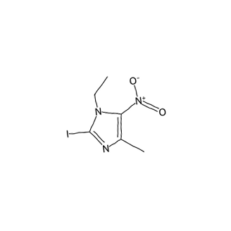 CCn1c(I)nc(C)c1[N+](=O)[O-]